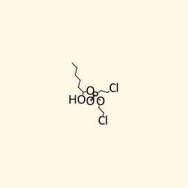 CCCCCC(O)OP(=O)(CCCl)OCCCl